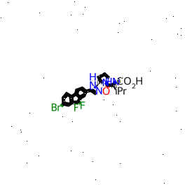 CC(C)[C@H](NC(=O)O)C(=O)N1CCC[C@H]1c1ncc(-c2ccc3c(c2)C(F)(F)c2cc(Br)ccc2-3)[nH]1